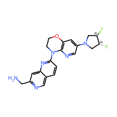 NCc1cc2nc(N3CCOc4cc(N5C[C@@H](F)[C@H](F)C5)cnc43)ccc2cn1